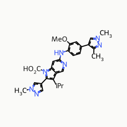 COc1cc(-c2cn(C)nc2C)ccc1Nc1cc2c(cn1)c(C(C)C)c(-c1cnn(C)c1)n2C(=O)O